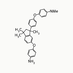 CNc1ccc(Oc2ccc(C3(C)CC(C)(C)c4ccc(Oc5ccc(N)cc5)cc43)cc2)cc1